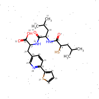 CC(C)CC(S)C(=O)NC(CC(C)C)C(=O)NC(Cc1ccc(-c2cccs2)nc1)C(=O)O